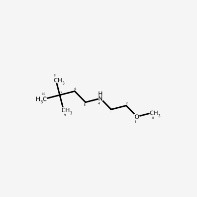 COCCNCCC(C)(C)C